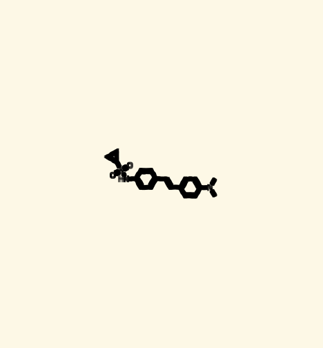 CN(C)c1ccc(C=Cc2ccc(NS(=O)(=O)C3CC3)cc2)cc1